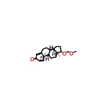 COCOC1CC[C@H]2[C@@H]3CCC4=CC(=O)C=C[C@]4(C)[C@@H]3CC[C@]12C